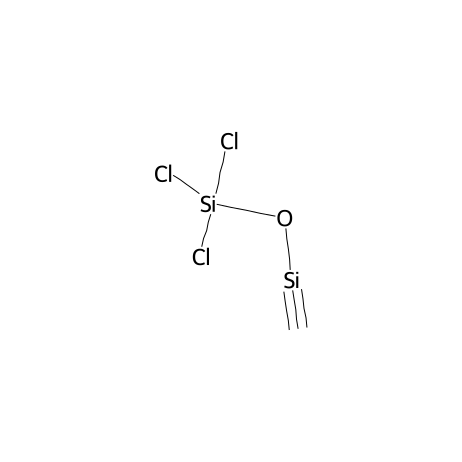 C#[Si]O[Si](Cl)(Cl)Cl